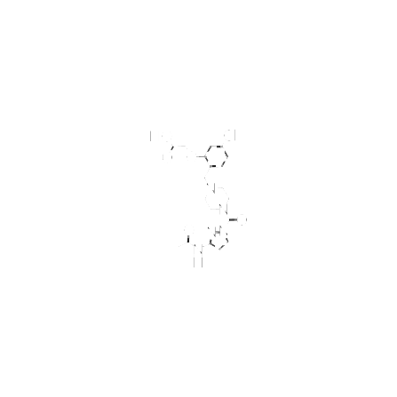 CC(=O)Nc1ccn(C(=O)N2CCN(Cc3ccc(Cl)cc3OCC(=O)O)CC2)n1